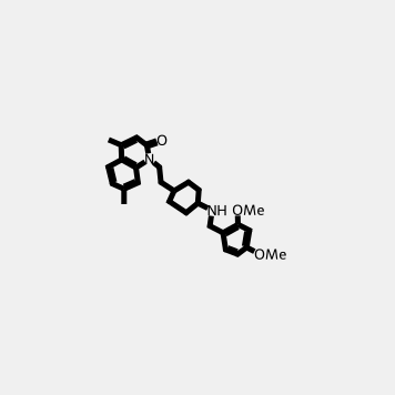 COc1ccc(CNC2CCC(CCn3c(=O)cc(C)c4ccc(C)cc43)CC2)c(OC)c1